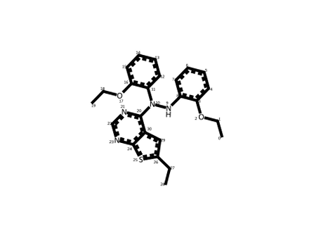 CCOc1ccccc1NN(c1ccccc1OCC)c1ncnc2sc(CC)cc12